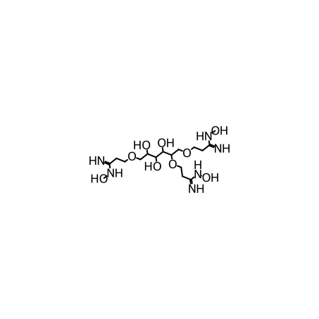 N=C(CCOCC(O)C(O)C(O)C(COCCC(=N)NO)OCCC(=N)NO)NO